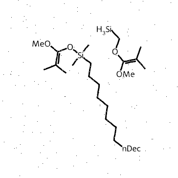 CCCCCCCCCCCCCCCCCC[Si](C)(C)OC(OC)=C(C)C.COC(OC[SiH3])=C(C)C